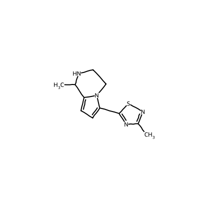 Cc1nsc(-c2ccc3n2CCNC3C)n1